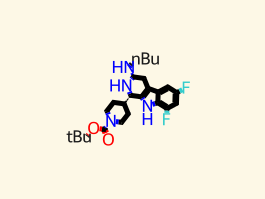 CCCCN[C@H]1Cc2c([nH]c3c(F)cc(F)cc23)[C@H](C2CCN(C(=O)OC(C)(C)C)CC2)N1